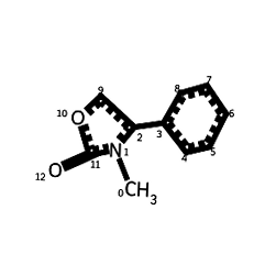 Cn1c(-c2ccccc2)coc1=O